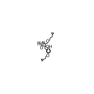 NC(COCCCC1CC1)C(O)(Cc1cc(OCCC2CC2)ccn1)C(=O)O